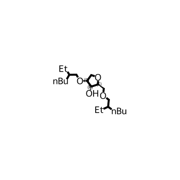 CCCCC(CC)COC[C@@H]1OC[C@H](OCC(CC)CCCC)[C@H]1O